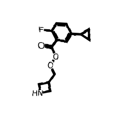 O=C(OOCC1CNC1)c1cc(C2CC2)ccc1F